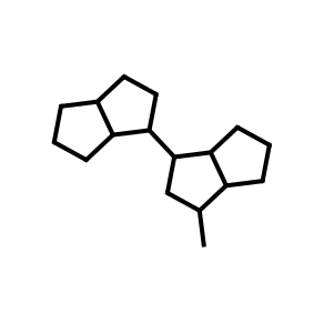 CC1CC(C2CCC3CCCC32)C2CCCC12